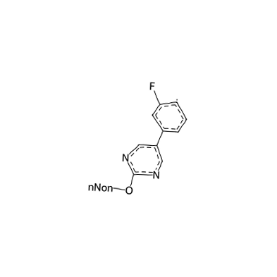 CCCCCCCCCOc1ncc(-c2cc[c]c(F)c2)cn1